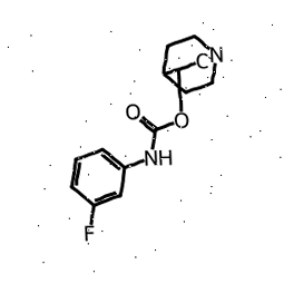 O=C(Nc1cccc(F)c1)OC1CN2CCC1CC2